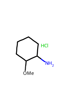 COC1CCCCC1N.Cl